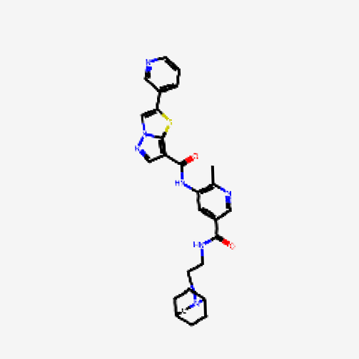 Cc1ncc(C(=O)NCCN2CC3CCC2CC3)cc1NC(=O)c1cnn2cc(-c3cccnc3)sc12